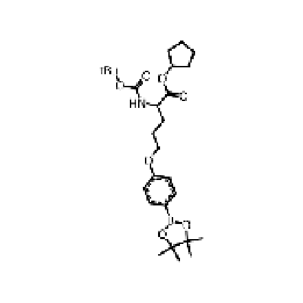 CC(C)(C)OC(=O)N[C@H](CCCOc1ccc(B2OC(C)(C)C(C)(C)O2)cc1)C(=O)OC1CCCC1